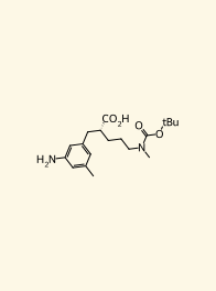 Cc1cc(N)cc(C[C@@H](CCCN(C)C(=O)OC(C)(C)C)C(=O)O)c1